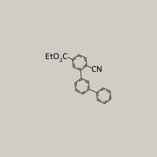 CCOC(=O)c1ccc(C#N)c(-c2cccc(-c3ccccc3)c2)c1